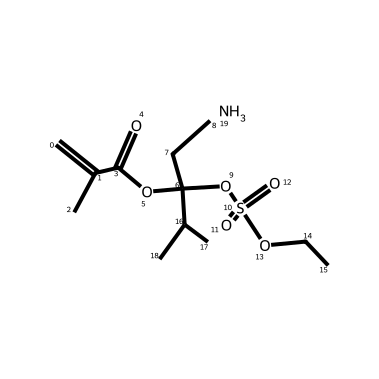 C=C(C)C(=O)OC(CC)(OS(=O)(=O)OCC)C(C)C.N